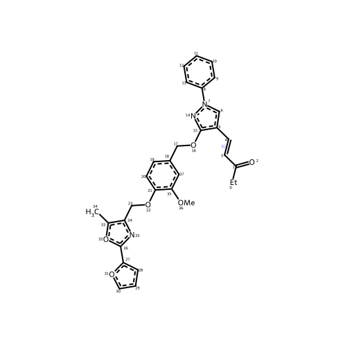 CCC(=O)/C=C/c1cn(-c2ccccc2)nc1OCc1ccc(OCc2nc(-c3ccco3)oc2C)c(OC)c1